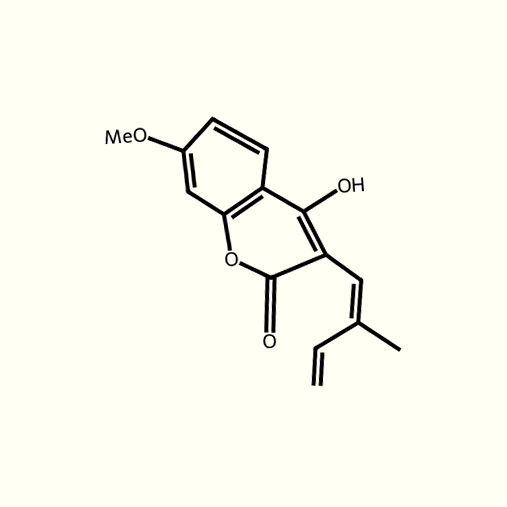 C=CC(C)=Cc1c(O)c2ccc(OC)cc2oc1=O